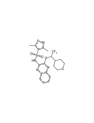 Cc1noc(C)c1S(=O)(=O)Nc1nc2ccccc2nc1OC(C1CCSCC1)C(F)(F)F